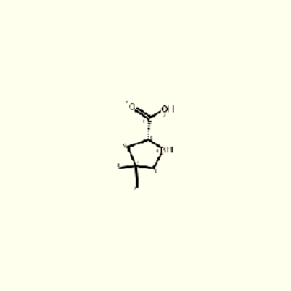 CC1(C)CN[C@@H](C(=O)O)C1